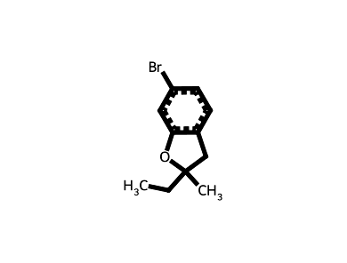 CCC1(C)Cc2ccc(Br)cc2O1